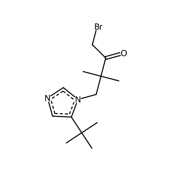 CC(C)(Cn1cncc1C(C)(C)C)C(=O)CBr